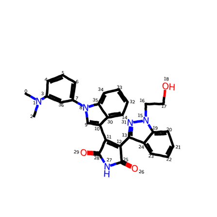 CN(C)c1cccc(-n2cc(C3=C(c4nn(CCO)c5ccccc45)C(=O)NC3=O)c3ccccc32)c1